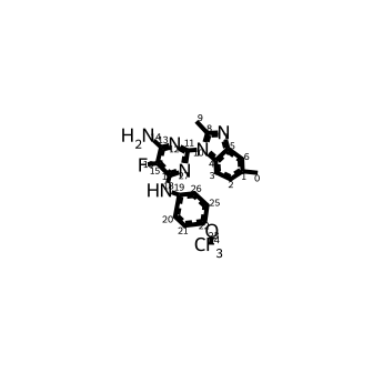 Cc1ccc2c(c1)nc(C)n2-c1nc(N)c(F)c(Nc2ccc(OC(F)(F)F)cc2)n1